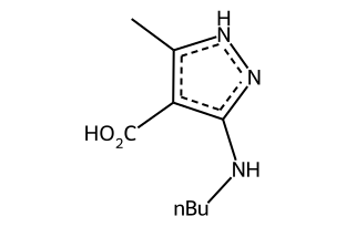 CCCCNc1n[nH]c(C)c1C(=O)O